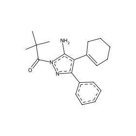 CC(C)(C)C(=O)n1nc(-c2ccccc2)c(C2=CCCCC2)c1N